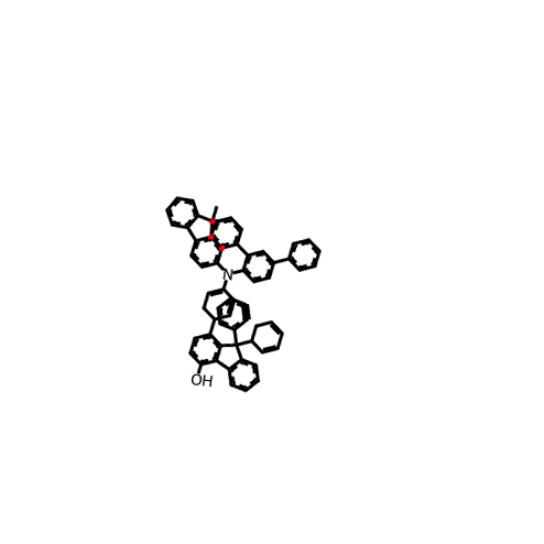 CC1(C)c2ccccc2-c2ccc(N(C3=CCC(c4ccc(O)c5c4C(c4c#cccc4)(C4C=CC=CC4)c4ccccc4-5)C=C3)c3ccc(-c4ccccc4)cc3-c3ccccc3)cc21